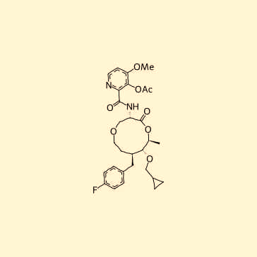 COc1ccnc(C(=O)N[C@H]2COCC[C@H](Cc3ccc(F)cc3)[C@@H](OCC3CC3)[C@H](C)OC2=O)c1OC(C)=O